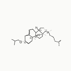 CC(C)CCC[C@@H](C)[C@H]1CC[C@H]2C3CC=C4C[C@@H](OCC(C)C)CC[C@]4(C)[C@H]3CC[C@]12C